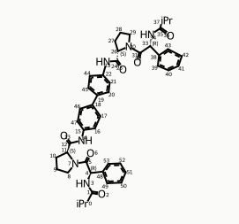 CC(C)C(=O)N[C@@H](C(=O)N1CCC[C@H]1C(=O)Nc1ccc(-c2ccc(NC(=O)[C@@H]3CCCN3C(=O)[C@H](NC(=O)C(C)C)c3ccccc3)cc2)cc1)c1ccccc1